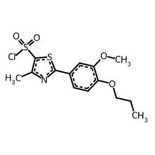 CCCOc1ccc(-c2nc(C)c(S(=O)(=O)Cl)s2)cc1OC